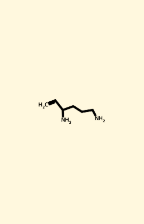 C=CC(N)CCCN